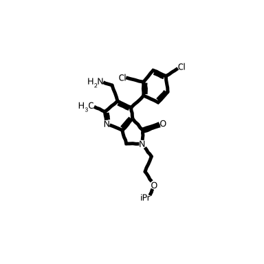 Cc1nc2c(c(-c3ccc(Cl)cc3Cl)c1CN)C(=O)N(CCOC(C)C)C2